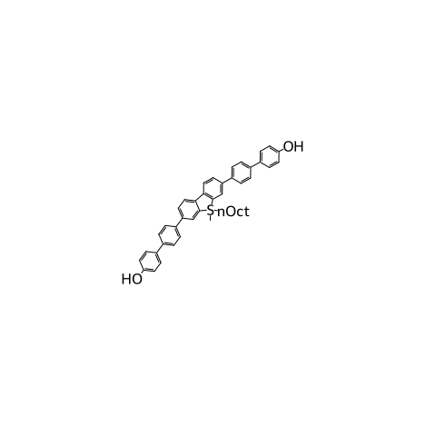 CCCCCCCCS1(C)c2cc(-c3ccc(-c4ccc(O)cc4)cc3)ccc2-c2ccc(-c3ccc(-c4ccc(O)cc4)cc3)cc21